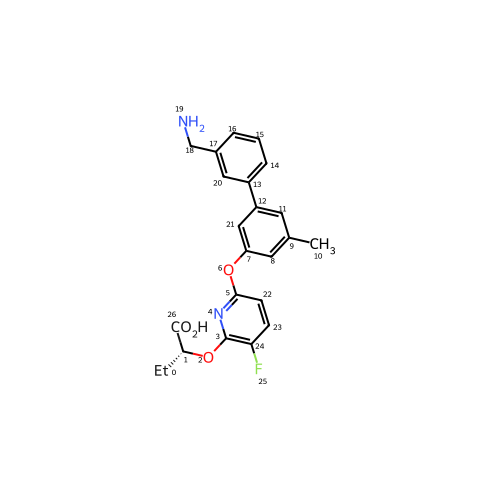 CC[C@@H](Oc1nc(Oc2cc(C)cc(-c3cccc(CN)c3)c2)ccc1F)C(=O)O